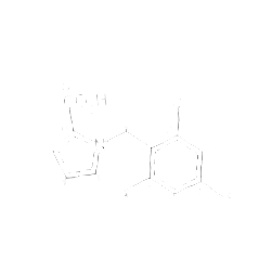 Cc1cc(C)c(Cn2cccc2C(=O)O)c(C)c1